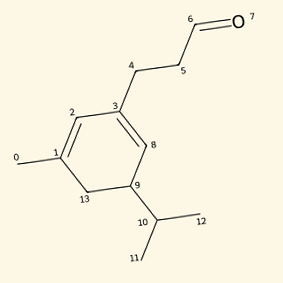 CC1=CC(CCC=O)=CC(C(C)C)C1